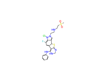 CS(=O)(=O)CCNCCN1C=C2C(=C(F)C=C3C4=C(Nc5ccccc5)NCN=C4SC32)N1Cl